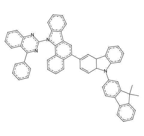 CC1(C)c2ccccc2-c2ccc(N3c4ccccc4C4C=C(c5cc6c7ccccc7n(-c7nc(-c8ccccc8)c8ccccc8n7)c6c6ccccc56)C=CC43)cc21